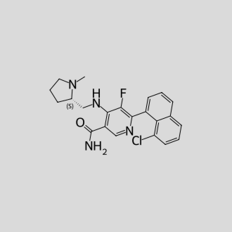 CN1CCC[C@H]1CNc1c(C(N)=O)cnc(-c2cccc3cccc(Cl)c23)c1F